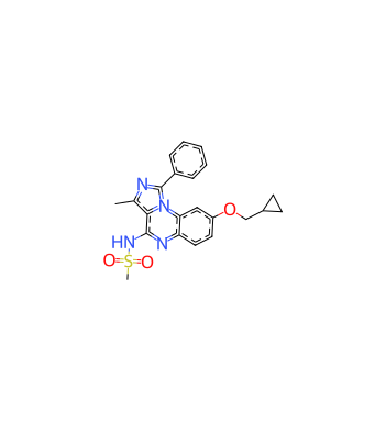 Cc1nc(-c2ccccc2)n2c1c(NS(C)(=O)=O)nc1ccc(OCC3CC3)cc12